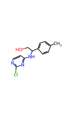 Cc1ccc(C(CO)Nc2ccnc(Cl)n2)cc1